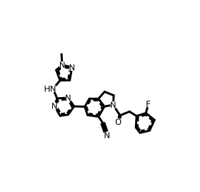 Cn1cc(Nc2nccc(-c3cc(C#N)c4c(c3)CCN4C(=O)Cc3ccccc3F)n2)cn1